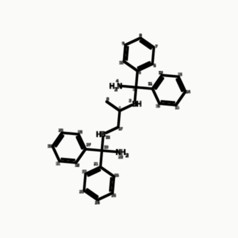 CC(BC(N)(c1ccccc1)c1ccccc1)CBC(N)(c1ccccc1)c1ccccc1